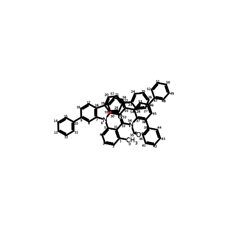 Cc1cccc(-n2c3cc(-c4ccccc4)ccc3c3ccc(-c4ccccc4)cc32)c1C(=O)N(C=O)c1c(-c2ccccc2)cc(-c2ccccc2)cc1-c1ccccc1